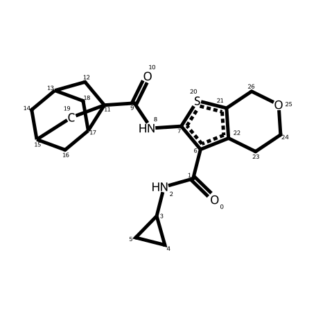 O=C(NC1CC1)c1c(NC(=O)C23CC4CC(CC2C4)C3)sc2c1CCOC2